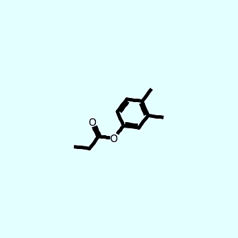 CCC(=O)Oc1ccc(C)c(C)c1